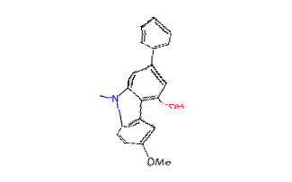 COc1ccc2c(c1)c1c(O)cc(-c3ccccc3)cc1n2C